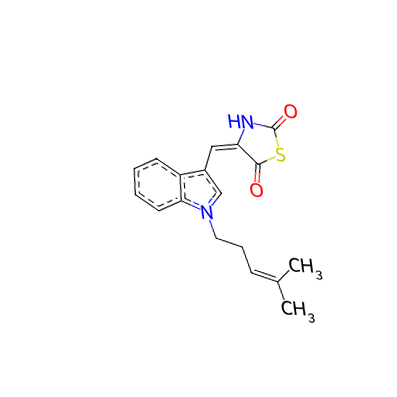 CC(C)=CCCn1cc(C=C2NC(=O)SC2=O)c2ccccc21